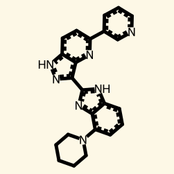 c1cncc(-c2ccc3[nH]nc(-c4nc5c(N6CCCCC6)cccc5[nH]4)c3n2)c1